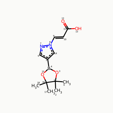 CC1(C)OB(c2cnn(C=CC(=O)O)c2)OC1(C)C